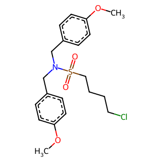 COc1ccc(CN(Cc2ccc(OC)cc2)S(=O)(=O)CCCCCl)cc1